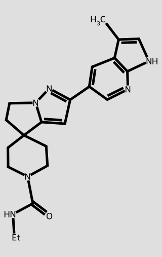 CCNC(=O)N1CCC2(CC1)CCn1nc(-c3cnc4[nH]cc(C)c4c3)cc12